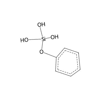 O[Si](O)(O)Oc1ccccc1